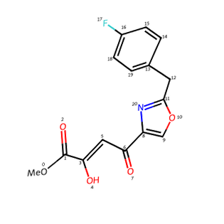 COC(=O)C(O)=CC(=O)c1coc(Cc2ccc(F)cc2)n1